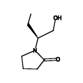 CC[C@@H](CO)N1CCCC1=O